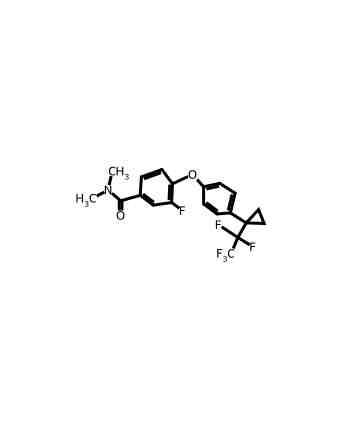 CN(C)C(=O)c1ccc(Oc2ccc(C3(C(F)(F)C(F)(F)F)CC3)cc2)c(F)c1